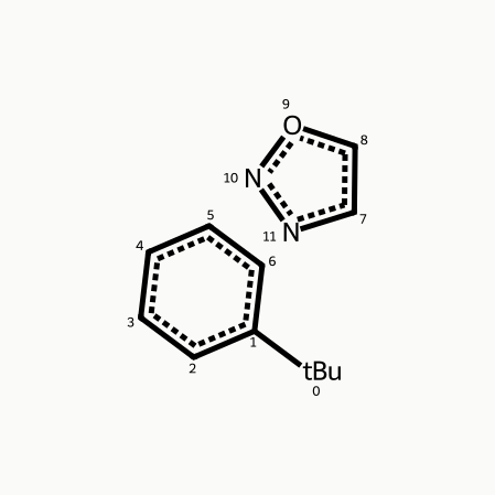 CC(C)(C)c1ccccc1.c1conn1